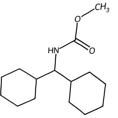 COC(=O)NC(C1CCCCC1)C1CCCCC1